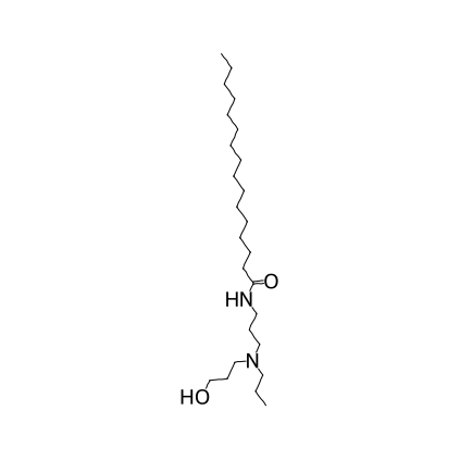 CCCCCCCCCCCCCCCC(=O)NCCCN(CCC)CCCO